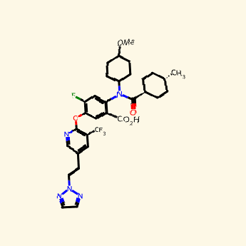 COC1CCC(N(c2cc(F)c(Oc3ncc(CCn4nccn4)cc3C(F)(F)F)cc2C(=O)O)C(=O)[C@H]2CC[C@H](C)CC2)CC1